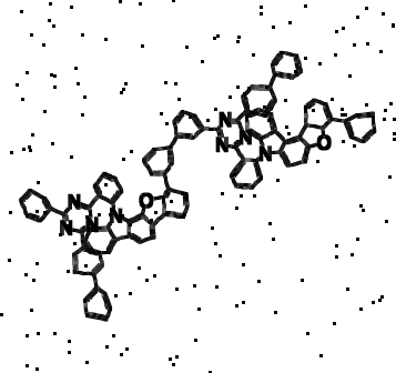 C1=CC2c3c(ccc4c3c3ccccc3n4-c3ccccc3-c3nc(-c4ccc(-c5ccccc5)cc4)nc(-c4cccc(-c5cccc(-c6cccc7c6oc6c7ccc7c8ccccc8n(-c8ccccc8-c8nc(-c9ccccc9)nc(-c9ccc(-c%10ccccc%10)cc9)n8)c76)c5)c4)n3)OC2C(c2ccccc2)=C1